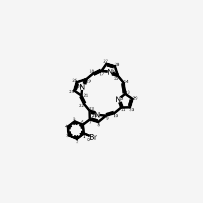 Brc1ccccc1C1=CC2=CC3=NC(=CC4=NC(=CC5=NC(=CC1=N2)C=C5)C=C4)C=C3